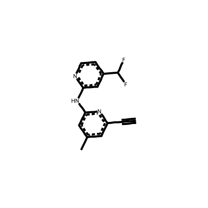 C#Cc1cc(C)cc(Nc2cc(C(F)F)ccn2)n1